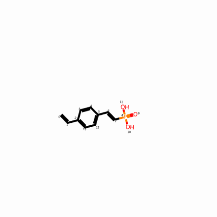 C=Cc1ccc(C=CP(=O)(O)O)cc1